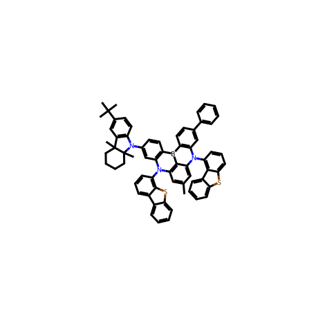 Cc1cc2c3c(c1)N(c1cccc4sc5ccccc5c14)c1cc(-c4ccccc4)ccc1B3c1ccc(N3c4ccc(C(C)(C)C)cc4C4(C)CCCCC34C)cc1N2c1cccc2c1sc1ccccc12